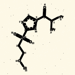 CCCN(CCC)C(=O)n1cnc(S(=O)(=O)CCOCC)n1